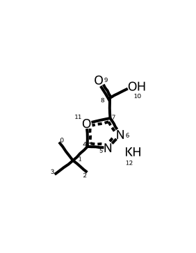 CC(C)(C)c1nnc(C(=O)O)o1.[KH]